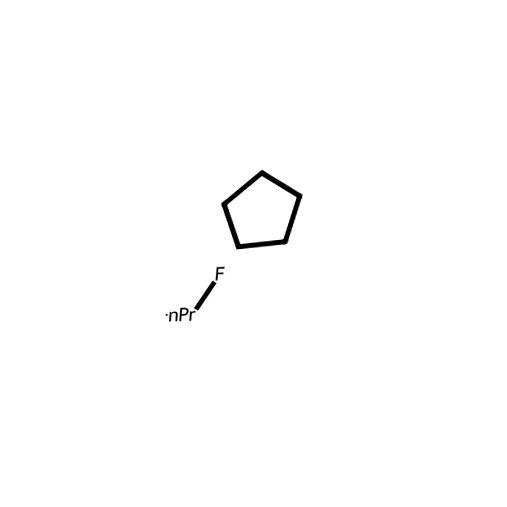 C1CCCC1.CC[CH]F